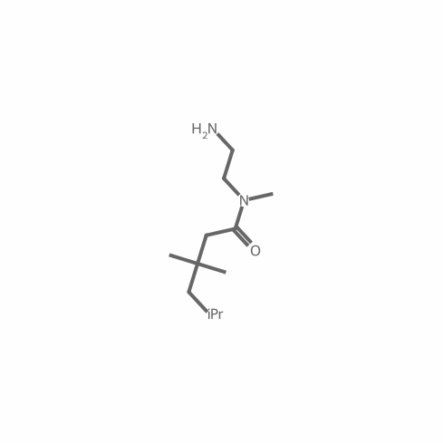 CC(C)CC(C)(C)CC(=O)N(C)CCN